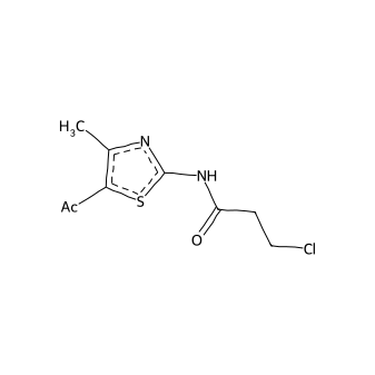 CC(=O)c1sc(NC(=O)CCCl)nc1C